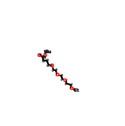 CCOCCOCCOCCOCCCC(=O)OC(C)(C)C